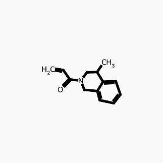 C=CC(=O)N1Cc2ccccc2C(C)C1